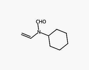 C=CN(C=O)C1CCCCC1